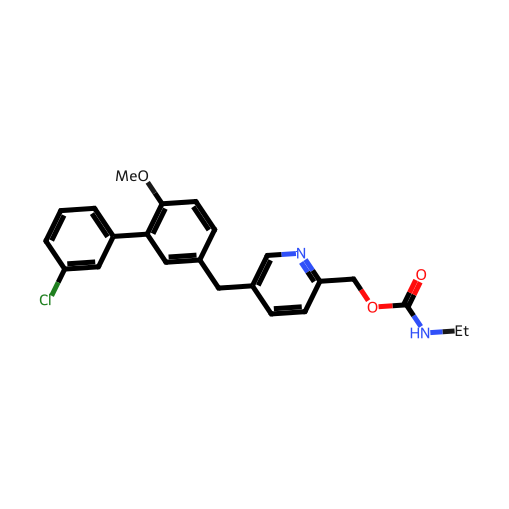 CCNC(=O)OCc1ccc(Cc2ccc(OC)c(-c3cccc(Cl)c3)c2)cn1